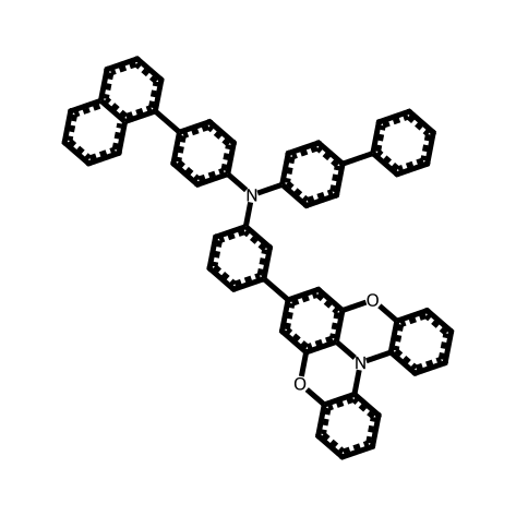 c1ccc(-c2ccc(N(c3ccc(-c4cccc5ccccc45)cc3)c3cccc(-c4cc5c6c(c4)Oc4ccccc4N6c4ccccc4O5)c3)cc2)cc1